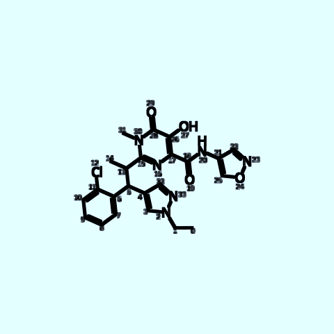 CCn1cc(C(c2ccccc2Cl)C(C)c2nc(C(=O)Nc3cnoc3)c(O)c(=O)n2C)cn1